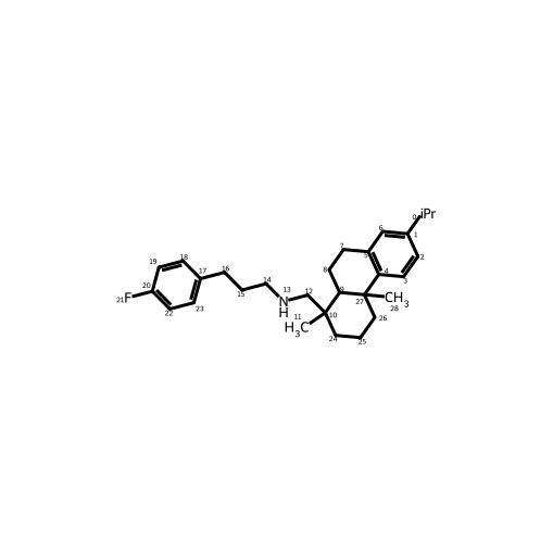 CC(C)c1ccc2c(c1)CCC1C(C)(CNCCCc3ccc(F)cc3)CCCC21C